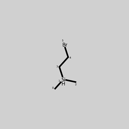 C[SiH](C)CCBr